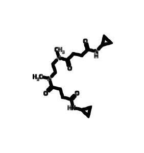 CN(CCN(C)C(=O)CCC(=O)NC1CC1)C(=O)CCC(=O)NC1CC1